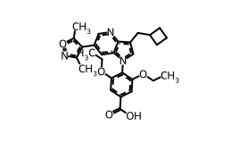 CCOc1cc(C(=O)O)cc(OCC)c1-n1cc(CC2CCC2)c2ncc(-c3c(C)noc3C)cc21